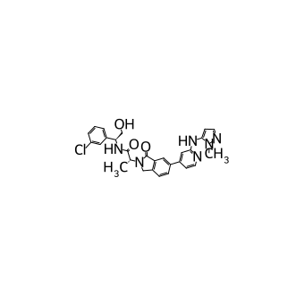 C[C@H](C(=O)N[C@H](CO)c1cccc(Cl)c1)N1Cc2ccc(-c3ccnc(Nc4ccnn4C)c3)cc2C1=O